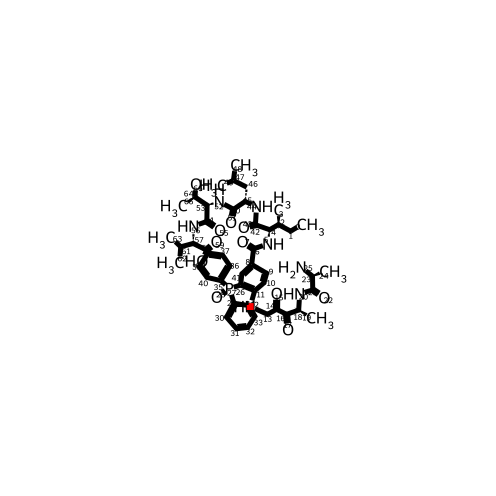 CC[C@H](C)[C@H](NC(=O)c1ccc(NCC(=O)C(=O)[C@H](C)NC(=O)[C@H](C)N)c(P(=O)(c2ccccc2)c2ccccc2)c1)C(=O)N[C@@H](CC(C)C)C(=O)N[C@H](C(=O)N[C@H](C(=O)O)C(C)C)[C@@H](C)O